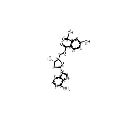 Nc1ncnc2c1ncn2[C@H]1C[C@H](O)[C@@H](COC(=O)c2ccc(O)cc2C(=O)O)O1